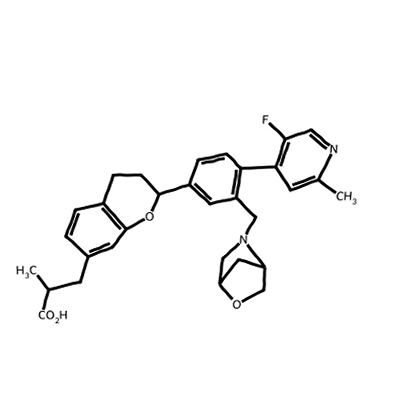 Cc1cc(-c2ccc(C3CCc4ccc(CC(C)C(=O)O)cc4O3)cc2CN2CC3CC2CO3)c(F)cn1